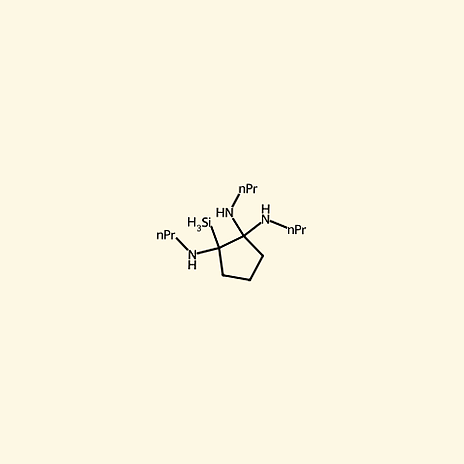 CCCNC1([SiH3])CCCC1(NCCC)NCCC